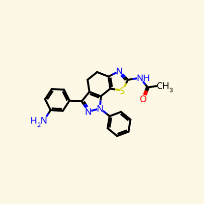 CC(=O)Nc1nc2c(s1)-c1c(c(-c3cccc(N)c3)nn1-c1ccccc1)CC2